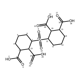 O=C(O)C1CCCC(S(=O)(=O)C2CCCC(C(=O)O)C2C(=O)O)C1C(=O)O